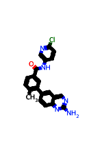 Cc1ccc(C(=O)Nc2ccc(Cl)nc2)cc1-c1ccc2nc(N)ncc2c1